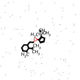 CC(C)C1C(C)CCCC1CCOC1=C([Si](C)(C)C)CC=C1